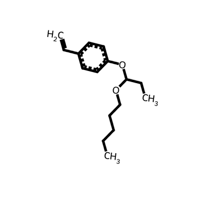 C=Cc1ccc(OC(CC)OCCCCC)cc1